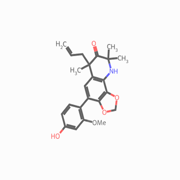 C=CCC1(C)C(=O)C(C)(C)Nc2c1cc(-c1ccc(O)cc1OC)c1c2OCO1